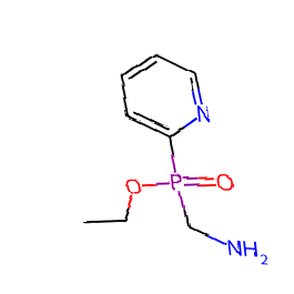 CCOP(=O)(CN)c1ccccn1